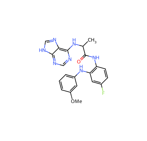 COc1cccc(Nc2cc(F)ccc2NC(=O)C(C)Nc2ncnc3[nH]cnc23)c1